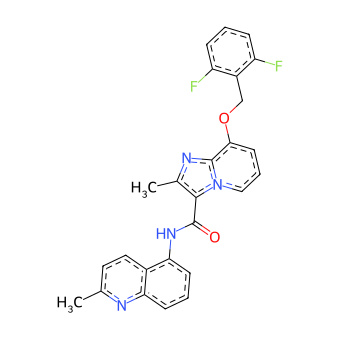 Cc1ccc2c(NC(=O)c3c(C)nc4c(OCc5c(F)cccc5F)cccn34)cccc2n1